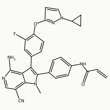 C=CC(=O)Nc1ccc(-c2c(-c3ccc(Oc4ccn(C5CC5)n4)c(F)c3)c3c(N)ncc(C#N)c3n2C)cc1